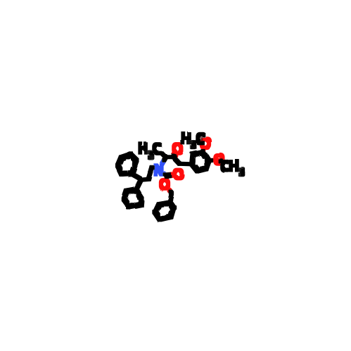 COc1ccc(CC(=O)C(C)N(CCC(c2ccccc2)c2ccccc2)C(=O)OCc2ccccc2)cc1OC